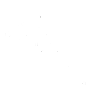 C/C=C/C=C/C(=O)OC(C(C)C)C(C)(C)CO